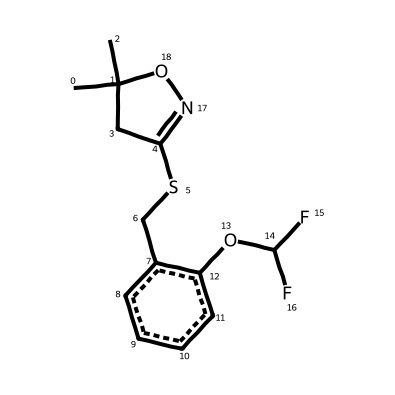 CC1(C)CC(SCc2ccccc2OC(F)F)=NO1